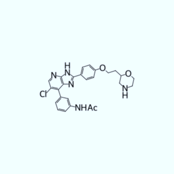 CC(=O)Nc1cccc(-c2c(Cl)cnc3[nH]c(-c4ccc(OCCC5CNCCO5)cc4)nc23)c1